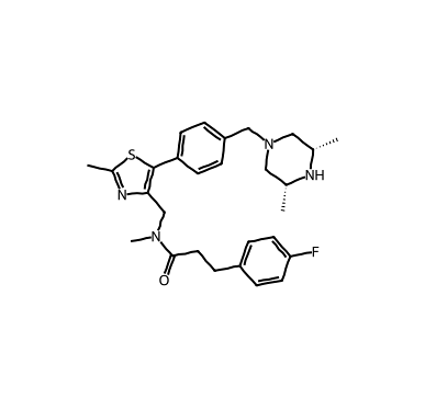 Cc1nc(CN(C)C(=O)CCc2ccc(F)cc2)c(-c2ccc(CN3C[C@@H](C)N[C@@H](C)C3)cc2)s1